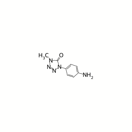 Cn1nnn(-c2ccc(N)cc2)c1=O